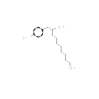 CC(C)(C)CCCCCCCCC(Cc1ccc(O)cc1)C(C)(C)C